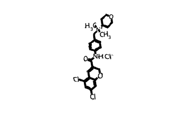 C[N+](C)(Cc1ccc(NC(=O)C2=Cc3c(Cl)cc(Cl)cc3OC2)cc1)C1CCOCC1.[Cl-]